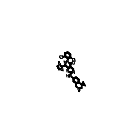 CN1Cc2cc(Nc3ncc4c(=O)n(-c5c(Cl)cccc5Cl)nc(-c5nccn5C)c4n3)ccc2C2(CC2)C1